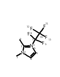 Cc1n(C)cc[n+]1C(F)(F)C(F)(F)F